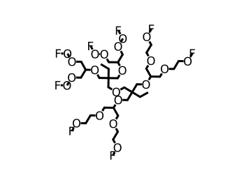 CCC(COCC(CC)(COC(COOF)COOF)COC(COOF)COOF)(COC(COCCOF)COCCOF)COC(COCCOF)COCCOF